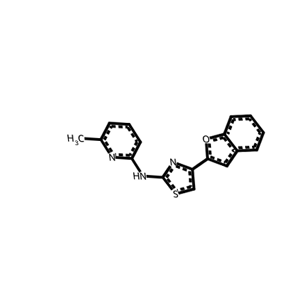 Cc1cccc(Nc2nc(-c3cc4ccccc4o3)cs2)n1